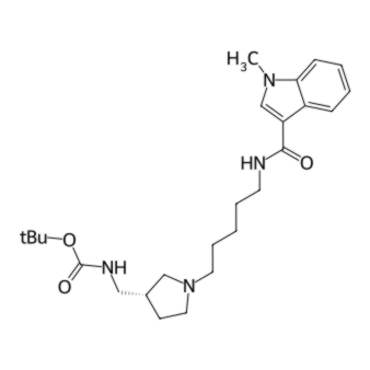 Cn1cc(C(=O)NCCCCCN2CC[C@H](CNC(=O)OC(C)(C)C)C2)c2ccccc21